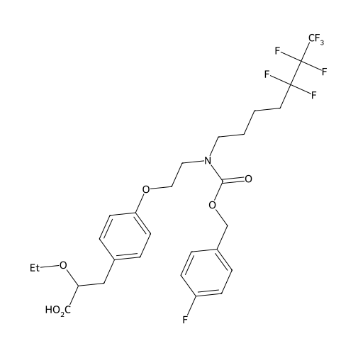 CCOC(Cc1ccc(OCCN(CCCCC(F)(F)C(F)(F)C(F)(F)F)C(=O)OCc2ccc(F)cc2)cc1)C(=O)O